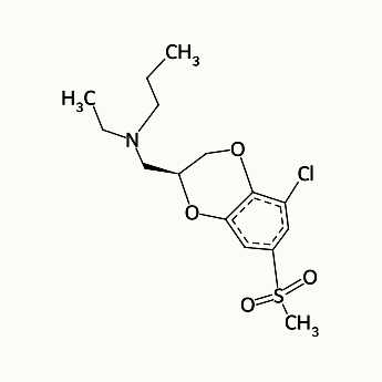 CCCN(CC)C[C@H]1COc2c(Cl)cc(S(C)(=O)=O)cc2O1